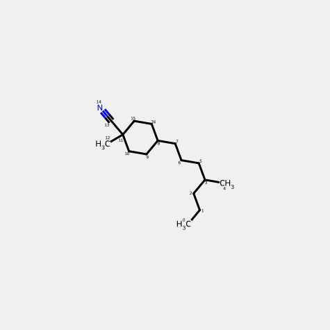 CCCC(C)CCCC1CCC(C)(C#N)CC1